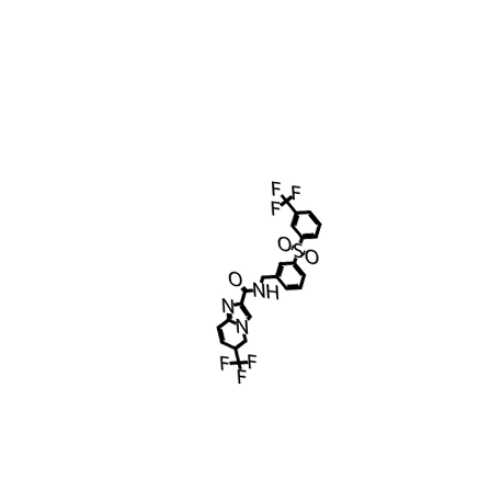 O=C(NCc1cccc(S(=O)(=O)c2cccc(C(F)(F)F)c2)c1)c1cn2c(n1)C=CC(C(F)(F)F)C2